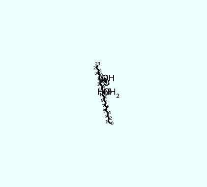 CCCCCCCCCCCCC(N)CCCC(CCCCCC)C(=O)O.Cl